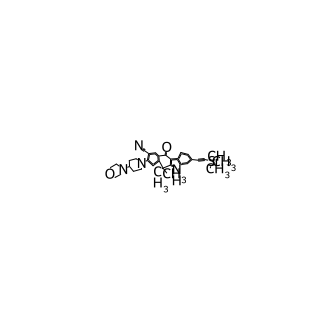 CC1(C)c2cc(N3CCC(N4CCOCC4)CC3)c(C#N)cc2C(=O)c2c1[nH]c1cc(C#C[Si](C)(C)C)ccc21